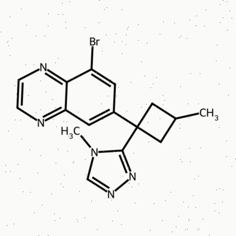 CC1CC(c2cc(Br)c3nccnc3c2)(c2nncn2C)C1